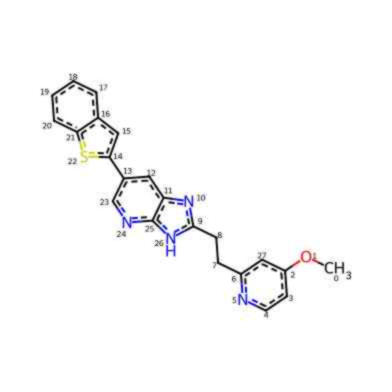 COc1ccnc(CCc2nc3cc(-c4cc5ccccc5s4)cnc3[nH]2)c1